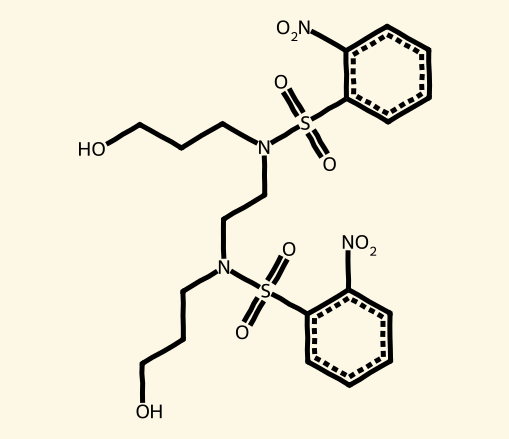 O=[N+]([O-])c1ccccc1S(=O)(=O)N(CCCO)CCN(CCCO)S(=O)(=O)c1ccccc1[N+](=O)[O-]